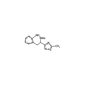 CNC(Cc1ccccc1N)c1csc(C)n1